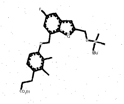 CCOC(=O)CCc1ccc(OCc2cc(F)cc3cc(CO[Si](C)(C)C(C)(C)C)oc23)c(C)c1C